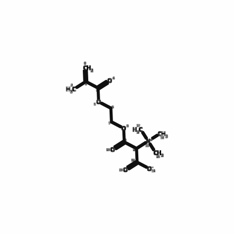 C=C(C)C(=O)OCCOC(=O)C(C(=O)[O-])[N+](C)(C)C